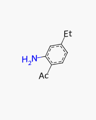 CCc1ccc(C(C)=O)c(N)c1